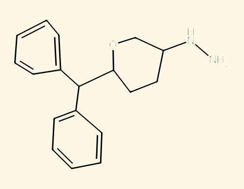 NNC1CCC(C(c2ccccc2)c2ccccc2)OC1